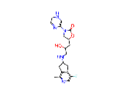 Cc1ncc(F)c2c1CC(NCC(O)CC1CN(C3=CNCC=N3)C(=O)O1)C2